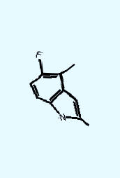 CC1=Cc2c(ccc(F)c2C)[N]1